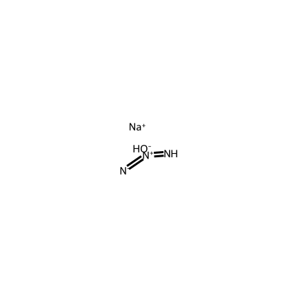 [N-]=[N+]=N.[Na+].[OH-]